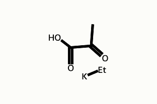 CC(=O)C(=O)O.C[CH2][K]